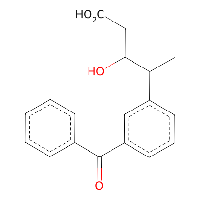 CC(c1cccc(C(=O)c2ccccc2)c1)C(O)CC(=O)O